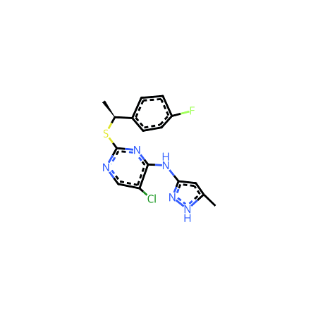 Cc1cc(Nc2nc(S[C@@H](C)c3ccc(F)cc3)ncc2Cl)n[nH]1